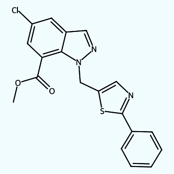 COC(=O)c1cc(Cl)cc2cnn(Cc3cnc(-c4ccccc4)s3)c12